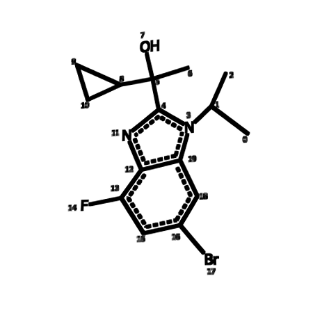 CC(C)n1c(C(C)(O)C2CC2)nc2c(F)cc(Br)cc21